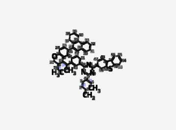 C=C/C=C\C(=C/C)c1nc(-c2cccc(/C(C)=C3/C(=C\C)COc4ccc(-c5cc6ccccc6c6c5CCC=C6)cc43)c2)nc(C2C=Cc3c(sc4ccccc34)C2)n1